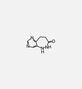 O=C1CCc2ncncc2NN1